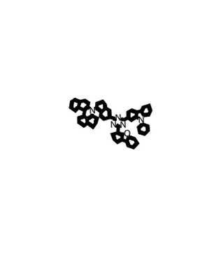 c1ccc(-n2c3ccccc3c3ccc(-c4nc(-c5ccc6c(N7c8ccc9ccccc9c8-c8cccc9cccc7c89)cccc6c5)nc(-c5cccc6c5oc5ccccc56)n4)cc32)cc1